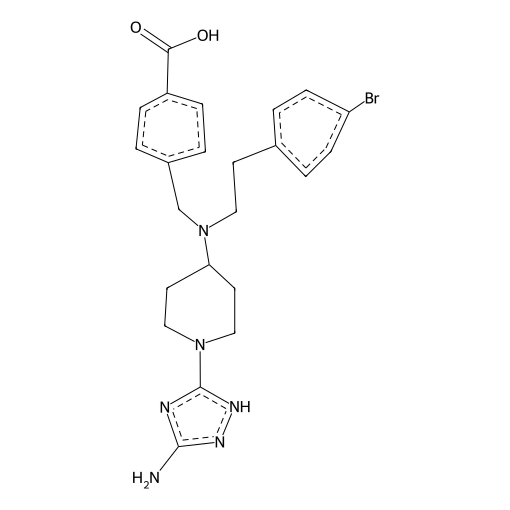 Nc1n[nH]c(N2CCC(N(CCc3ccc(Br)cc3)Cc3ccc(C(=O)O)cc3)CC2)n1